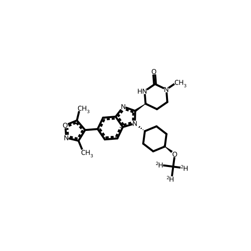 [2H]C([2H])([2H])O[C@H]1CC[C@H](n2c([C@@H]3CCN(C)C(=O)N3)nc3cc(-c4c(C)noc4C)ccc32)CC1